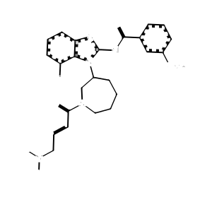 COc1cccc(C(=O)Nc2nc3cccc(C)c3n2C2CCCCN(C(=O)/C=C/CN(C)C)C2)c1